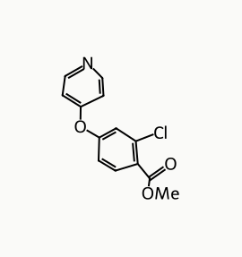 COC(=O)c1ccc(Oc2ccncc2)cc1Cl